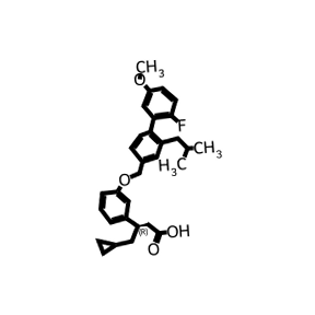 COc1ccc(F)c(-c2ccc(COc3cccc([C@@H](CC(=O)O)CC4CC4)c3)cc2CC(C)C)c1